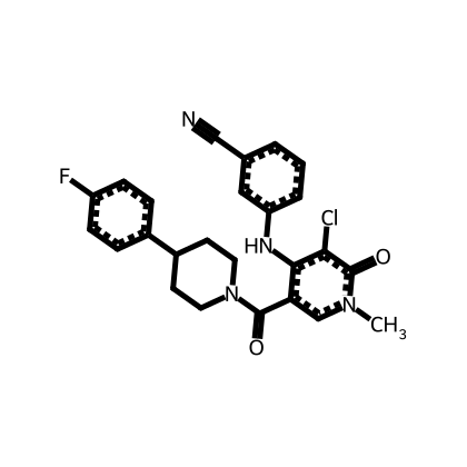 Cn1cc(C(=O)N2CCC(c3ccc(F)cc3)CC2)c(Nc2cccc(C#N)c2)c(Cl)c1=O